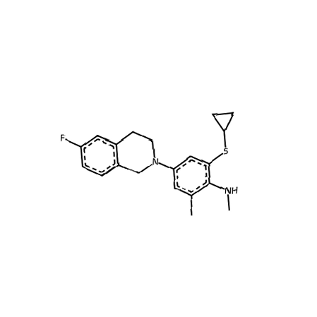 CNc1c(C)cc(N2CCc3cc(F)ccc3C2)cc1SC1CC1